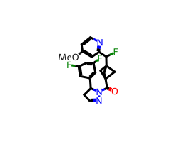 COc1ccnc(C(F)C23CC(C(=O)N4N=CCC4c4cc(F)cc(F)c4)(C2)C3)c1